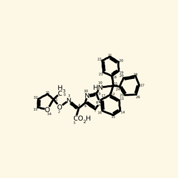 CC1(ON=C(C(=O)O)c2csc(NC(c3ccccc3)(c3ccccc3)c3ccccc3)n2)CC=CO1